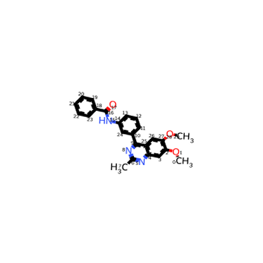 COc1cc2nc(C)nc(-c3cccc(NC(=O)c4ccccc4)c3)c2cc1OC